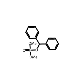 COP(=O)(OC)OC(c1ccccc1)c1ccccc1